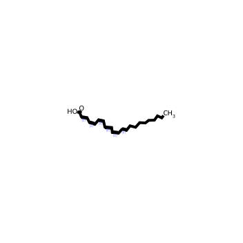 CCCCCCCCC/C=C/C=C\C=C\C=C/C=C\C=C\C(=O)O